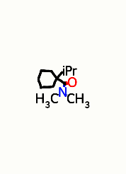 CC(C)C1(C(=O)N(C)C)CCCCC1